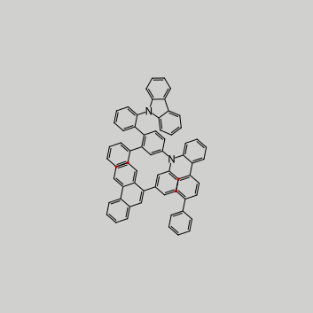 c1ccc(-c2ccc(-c3ccccc3N(c3cccc(-c4cc5ccccc5c5ccccc45)c3)c3ccc(-c4ccccc4-n4c5ccccc5c5ccccc54)c(-c4ccccc4)c3)cc2)cc1